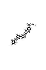 COC(=O)c1ccc2nc(COc3cc(-c4cccc(OCc5ccc(Cl)cc5F)n4)ccn3)n(C)c2c1